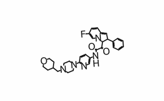 O=C(Nc1ccc(N2CCN(CC3CCOCC3)CC2)nc1)C(=O)C1C(c2ccccc2)C=C2C=CC(F)=CN21